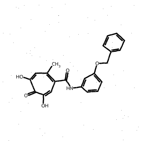 Cc1cc(O)c(=O)c(O)cc1C(=O)Nc1cccc(OCc2ccccc2)c1